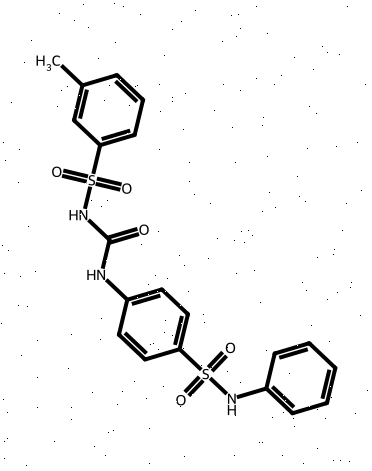 Cc1cccc(S(=O)(=O)NC(=O)Nc2ccc(S(=O)(=O)Nc3ccccc3)cc2)c1